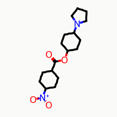 O=C(OC1CCC(N2CCCC2)CC1)C1CCC([N+](=O)[O-])CC1